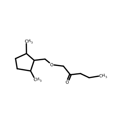 CCCC(=O)COCC1C(C)CCC1C